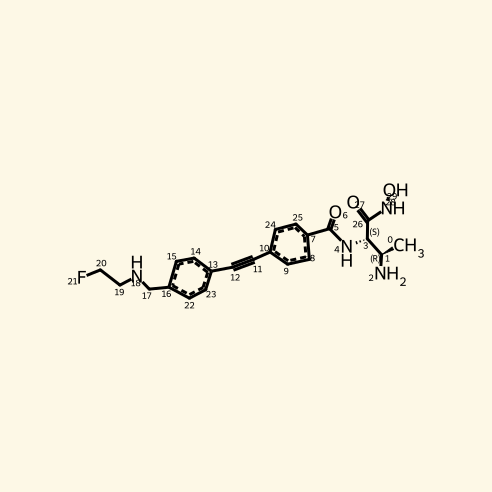 C[C@@H](N)[C@H](NC(=O)c1ccc(C#Cc2ccc(CNCCF)cc2)cc1)C(=O)NO